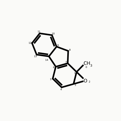 CC12OC1C=CC1=C2Cc2ccccc21